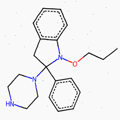 CCCON1c2ccccc2CC1(c1ccccc1)N1CCNCC1